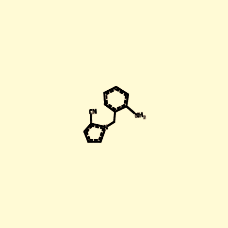 N#Cc1cccn1Cc1ccccc1N